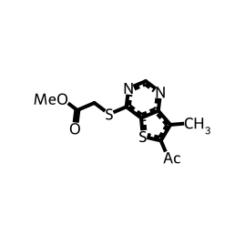 COC(=O)CSc1ncnc2c(C)c(C(C)=O)sc12